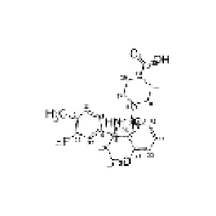 Cc1ccc([C@@]2(NC(=O)N3CCC(C(=O)O)CC3)CCOc3cccnc32)cc1F